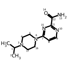 CC(C)N1CCN(c2c[c]nc(C(N)=O)n2)CC1